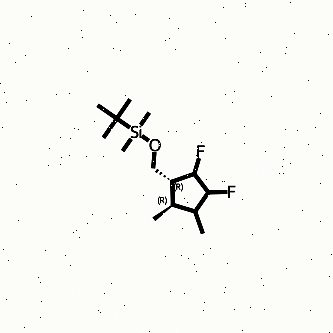 CC1C(F)C(F)[C@@H](CO[Si](C)(C)C(C)(C)C)[C@@H]1C